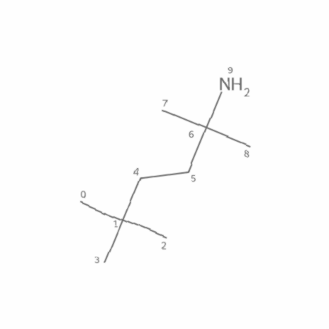 CC(C)(C)CCC(C)(C)N